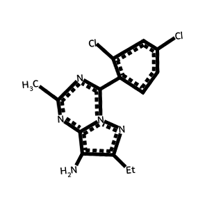 CCc1nn2c(-c3ccc(Cl)cc3Cl)nc(C)nc2c1N